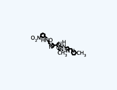 Cc1cn2c(-c3cnn(CC(=O)NCc4cccc([N+](=O)[O-])c4)c3)cnc2c(NC2CC(CN3CCCC(C)C3)=NS2)n1